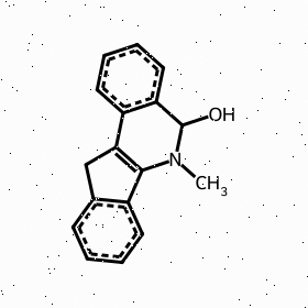 CN1C2=C(Cc3ccccc32)c2ccccc2C1O